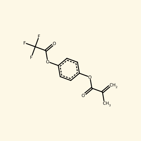 C=C(C)C(=O)Oc1ccc(OC(=O)C(F)(F)F)cc1